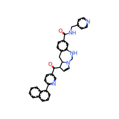 O=C(NCc1ccncc1)c1ccc2c(c1)NCN1C=CC(C(=O)c3ccc(-c4cccc5ccccc45)nc3)C1C2